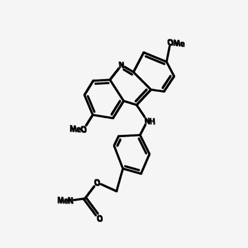 CNC(=O)OCc1ccc(Nc2c3ccc(OC)cc3nc3ccc(OC)cc23)cc1